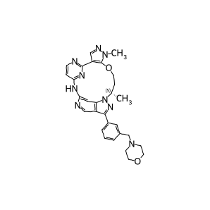 C[C@H]1CCOc2c(cnn2C)-c2nccc(n2)Nc2cc3c(cn2)c(-c2cccc(CN4CCOCC4)c2)nn31